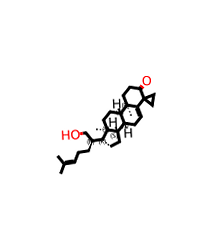 CC(C)=CCC[C@@H](CO)[C@H]1CC[C@H]2[C@@H]3CC=C4C5(CC5)C(=O)CC[C@]4(C)[C@H]3CC[C@]12C